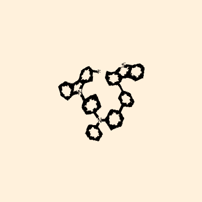 Fc1ccc2c3ccccc3n(-c3ccc(N(c4ccccc4)c4cccc(-c5cccc(-c6cccc7sc8ccccc8c67)c5)c4)cc3)c2c1